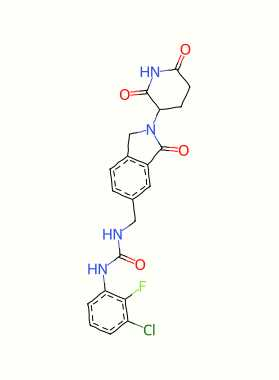 O=C1CCC(N2Cc3ccc(CNC(=O)Nc4cccc(Cl)c4F)cc3C2=O)C(=O)N1